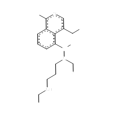 CCNCCCN(CC)[S+]([O-])c1cccc2c(O)ncc(CC)c12